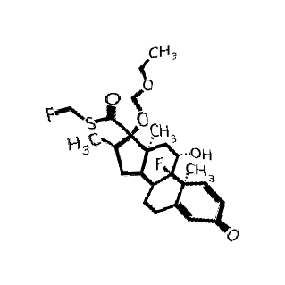 CCOCO[C@]1(C(=O)SCF)[C@H](C)CC2C3CCC4=CC(=O)C=C[C@]4(C)[C@@]3(F)[C@@H](O)C[C@@]21C